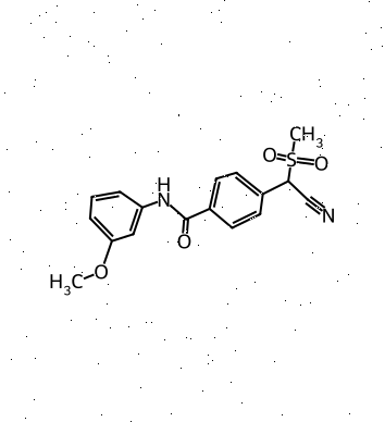 COc1cccc(NC(=O)c2ccc(C(C#N)S(C)(=O)=O)cc2)c1